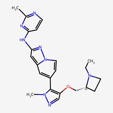 CCN1CC[C@@H]1COc1cnn(C)c1-c1ccn2nc(Nc3ccnc(C)n3)cc2c1